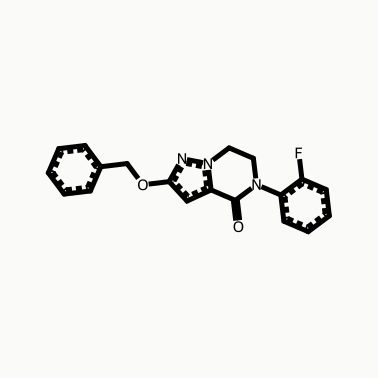 O=C1c2cc(OCc3ccccc3)nn2CCN1c1ccccc1F